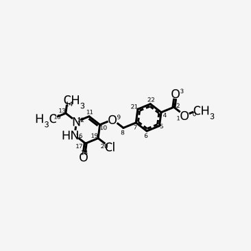 COC(=O)c1ccc(COC2=CN(C(C)C)NC(=O)C2Cl)cc1